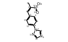 CC(=Cc1ccc(-n2cncn2)cc1)[N+](=O)[O-]